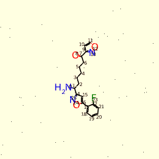 NC(CCCCCC(=O)c1ccon1)c1cc(-c2ccccc2F)on1